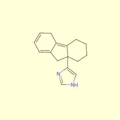 C1=CCC2=C3CCCCC3(c3c[nH]cn3)CC2=C1